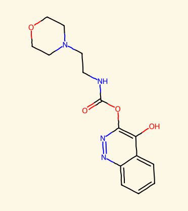 O=C(NCCN1CCOCC1)Oc1nnc2ccccc2c1O